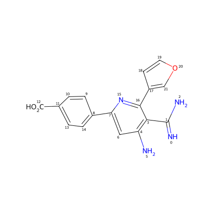 N=C(N)c1c(N)cc(-c2ccc(C(=O)O)cc2)nc1-c1ccoc1